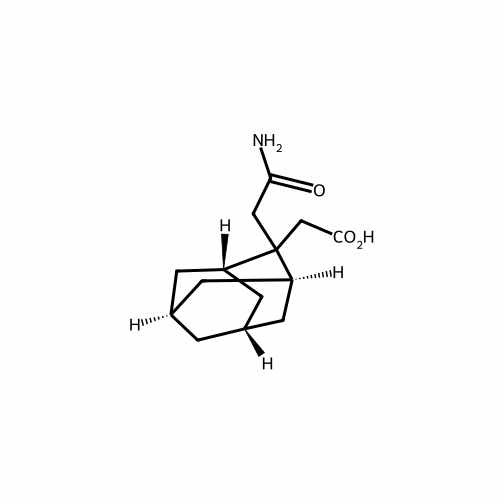 NC(=O)CC1(CC(=O)O)[C@H]2C[C@@H]3C[C@@H](C[C@H]1C3)C2